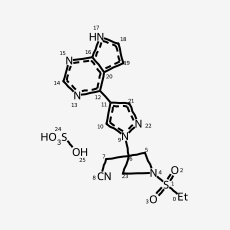 CCS(=O)(=O)N1CC(CC#N)(n2cc(-c3ncnc4[nH]ccc34)cn2)C1.O=S(=O)(O)O